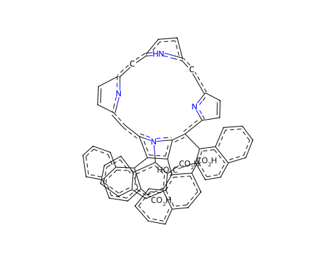 O=C(O)c1ccc2ccccc2c1-c1c(-c2c(C(=O)O)ccc3ccccc23)c2c(-c3c(C(=O)O)ccc4ccccc34)c3nc(cc4ccc(cc5nc(cc1n2-c1c(C(=O)O)ccc2ccccc12)C=C5)[nH]4)C=C3